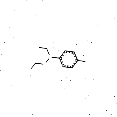 CCOP(CC)c1ccc(C)cc1